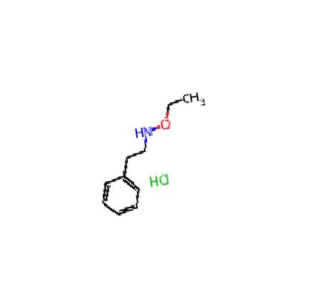 CCONCCc1ccccc1.Cl